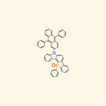 O=P1(c2ccccc2)c2ccccc2-c2ccc3c(c21)c1ccccc1n3-c1ccc2c(-c3ccccc3)c3ccccc3c(-c3ccccc3)c2c1